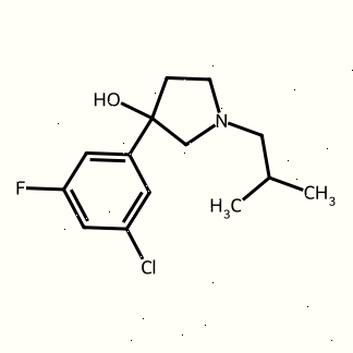 CC(C)CN1CCC(O)(c2cc(F)cc(Cl)c2)C1